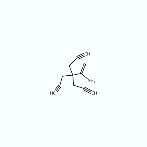 C#CCC(CC#C)(CC#C)C(N)=O